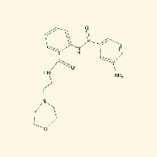 Nc1cccc(C(=O)Nc2ccccc2C(=O)NCCN2CCOCC2)c1